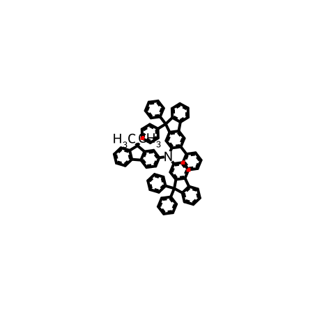 CC1(C)c2ccccc2-c2ccc(N(c3ccc4c(c3)C(c3ccccc3)(c3ccccc3)c3ccccc3-4)c3cc4c(cc3-c3ccccc3)-c3ccccc3C4(c3ccccc3)c3ccccc3)cc21